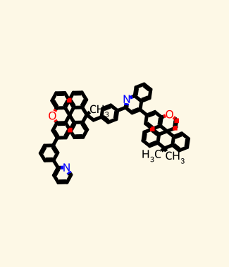 CC1(C)c2ccccc2C2(c3ccccc3Oc3cc(-c4cc(-c5ccc(CC6(C)c7ccccc7C7(c8ccccc8Oc8cc(-c9cccc(-c%10ccccn%10)c9)ccc87)c7ccccc76)cc5)nc5ccccc45)ccc32)c2ccccc21